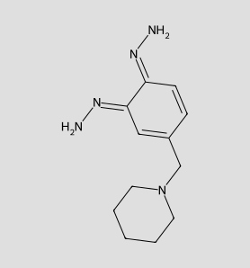 NN=C1C=CC(CN2CCCCC2)=CC1=NN